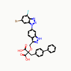 O=C(O)C(Cc1ccc(-c2ccccc2)cc1)(OCc1n[nH]c2cc(-n3nnc4c(F)cc(Br)cc43)ccc12)C(=O)O